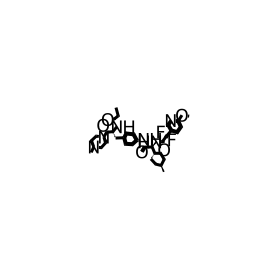 CCC(=O)N[C@H](Cc1ccc(NC(=O)[C@@H](NC(=O)C(F)(F)c2ccc(OC)nc2)[C@H]2CC[C@H](C)CC2)cc1)C(=O)N1CCN(C)CC1